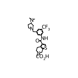 CN(C)[C@@H]1CCN(Cc2cc(NC(=O)c3csc4c3CCN(C(=O)O)C4)cc(C(F)(F)F)c2)C1